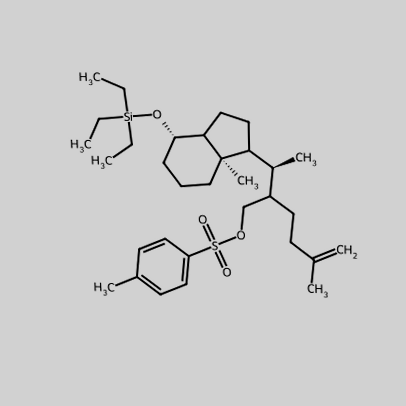 C=C(C)CCC(COS(=O)(=O)c1ccc(C)cc1)[C@H](C)C1CCC2[C@@H](O[Si](CC)(CC)CC)CCC[C@]12C